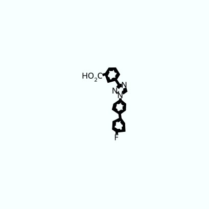 O=C(O)c1cccc(-c2ncn(-c3ccc(-c4ccc(F)cc4)cc3)n2)c1